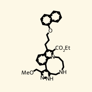 CCOC(=O)c1c(CCCOc2cccc3ccccc23)c2cccc3c2n1CCCNCc1[nH]nc(COC)c1-3